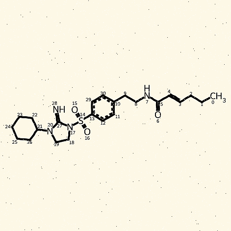 CCCC=CC(=O)NCCc1ccc(S(=O)(=O)N2CCN(C3CCCCC3)C2=N)cc1